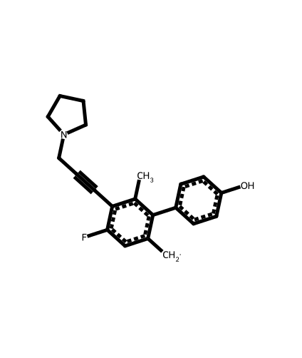 [CH2]c1cc(F)c(C#CCN2CCCC2)c(C)c1-c1ccc(O)cc1